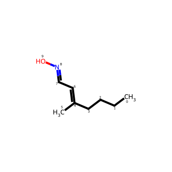 CCCCC(C)=CC=NO